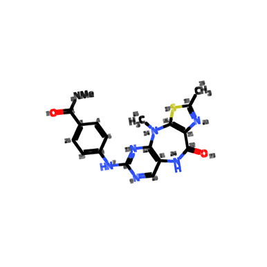 CNC(=O)c1ccc(Nc2ncc3c(n2)N(C)c2sc(C)nc2C(=O)N3)cc1